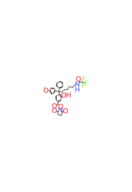 COc1ccc(C(c2ccccc2)(c2ccc(C(=O)ON3C(=O)CCC3=O)cc2)C(O)CCCCCNC(=O)C(F)(F)F)cc1